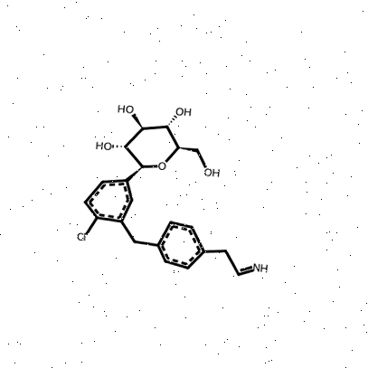 N=CCc1ccc(Cc2cc([C@@H]3O[C@H](CO)[C@@H](O)[C@H](O)[C@H]3O)ccc2Cl)cc1